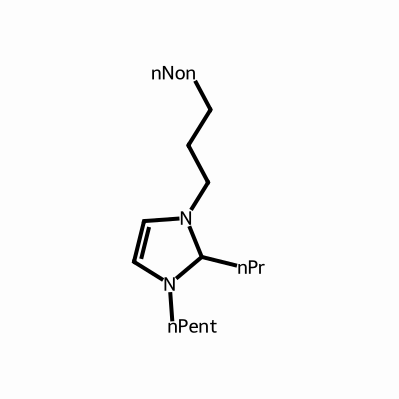 CCCCCCCCCCCCN1C=CN(CCCCC)C1CCC